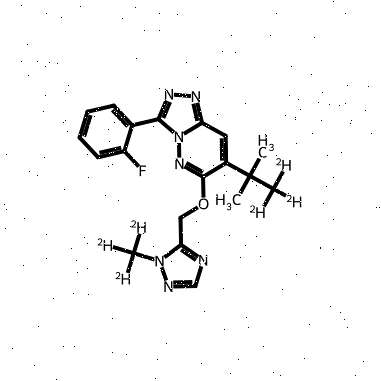 [2H]C([2H])([2H])n1ncnc1COc1nn2c(-c3ccccc3F)nnc2cc1C(C)(C)C([2H])([2H])[2H]